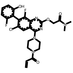 C=CC(=O)N1CCN(c2nc(OCC(=O)N(C)C)nc3c(F)c(-c4c(O)cccc4F)c(Cl)cc23)CC1